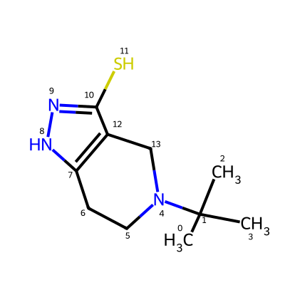 CC(C)(C)N1CCc2[nH]nc(S)c2C1